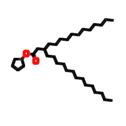 CCCCCCCCCCCCCCC(CCCCCCCCCCCC)CC(=O)OC1CCCC1